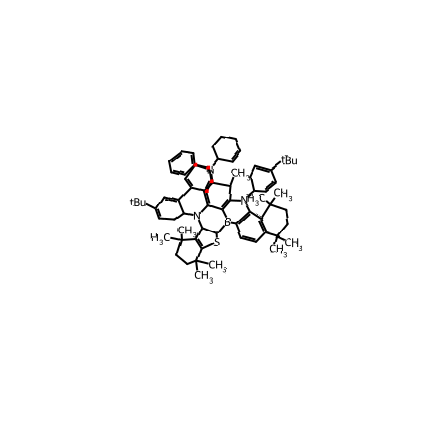 CC1C2=C3B(c4ccc5c(c4N2C2C=CC(C(C)(C)C)=CC2)C(C)(C)CCC5(C)C)C2SC4=C(C2N(C2CC=C(C(C)(C)C)C=C2C2=CCCC=C2)C3=CC1N(c1ccccc1)C1C=CCCC1)C(C)(C)CCC4(C)C